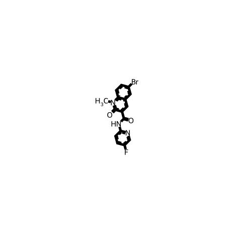 Cn1c(=O)c(C(=O)Nc2ccc(F)cn2)cc2cc(Br)ccc21